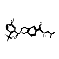 CC(C)CNC(=O)c1ccc2c(c1)CCN(C(=O)c1cc(Cl)ccc1C(F)(F)F)C2